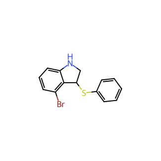 Brc1cccc2c1C(Sc1ccccc1)CN2